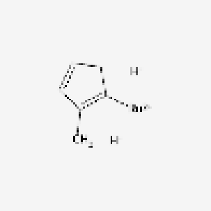 CC1=[C]([Ru+2])CC=C1.[H-].[H-]